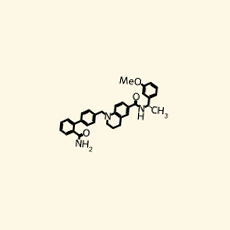 COc1cccc([C@H](C)NC(=O)c2ccc3c(c2)CCCN3Cc2ccc(-c3ccccc3C(N)=O)cc2)c1